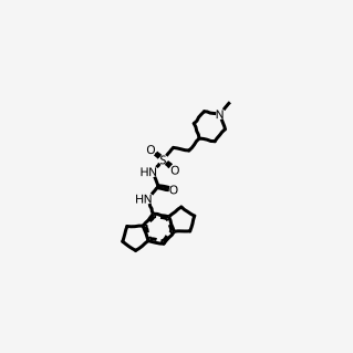 CN1CCC(CCS(=O)(=O)NC(=O)Nc2c3c(cc4c2CCC4)CCC3)CC1